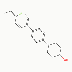 C\C=C(F)/C=C\C(=C/C)c1ccc(C2CCC(O)CC2)cc1